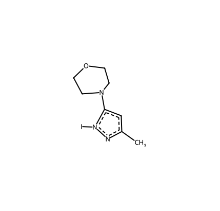 Cc1cc(N2CCOCC2)n(I)n1